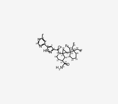 Cc1cc(-c2cc(C(=O)N3CCC(C(N)=O)CC34CC4C3(CF)CCCCC3(CF)CF)n[nH]2)ncn1